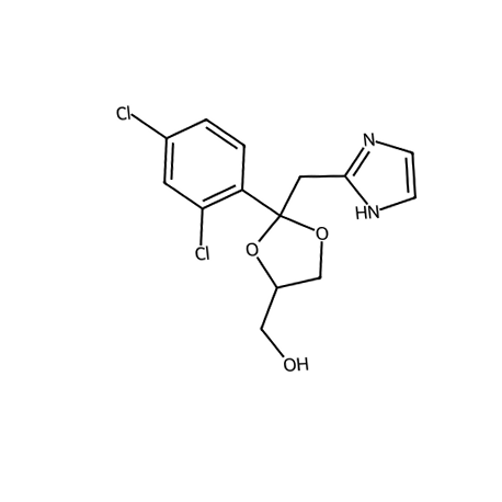 OCC1COC(Cc2ncc[nH]2)(c2ccc(Cl)cc2Cl)O1